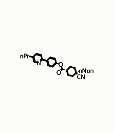 CCCCCCCCC[C@]1(C#N)CC[C@H](C(=O)Oc2ccc(-c3ccc(CCC)cn3)cc2)CC1